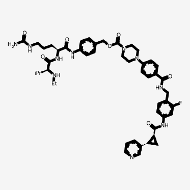 CCN[C@H](C(=O)N[C@@H](CCCNC(N)=O)C(=O)Nc1ccc(COC(=O)N2CCN(c3ccc(C(=O)NCc4ccc(NC(=O)[C@H]5C[C@@H]5c5cccnc5)cc4F)cc3)CC2)cc1)C(C)C